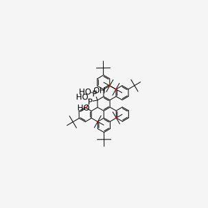 CC(C)(C)c1ccc(C2=C(c3ccc(C(C)(C)C)cc3C(C)(C)C)C(P(O)O)(P(O)O)C(c3ccc(C(C)(C)C)cc3C(C)(C)C)C(c3ccc(C(C)(C)C)cc3C(C)(C)C)=C2c2ccccc2)c(C(C)(C)C)c1